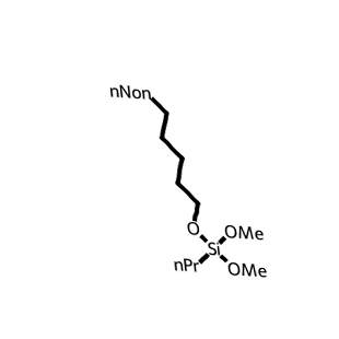 CCCCCCCCCCCCCCO[Si](CCC)(OC)OC